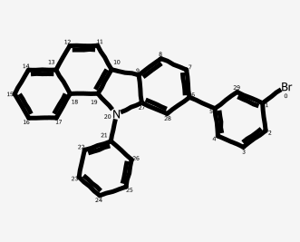 Brc1cccc(-c2ccc3c4ccc5ccccc5c4n(-c4ccccc4)c3c2)c1